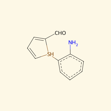 Nc1ccccc1[SH]1C=CC=C1C=O